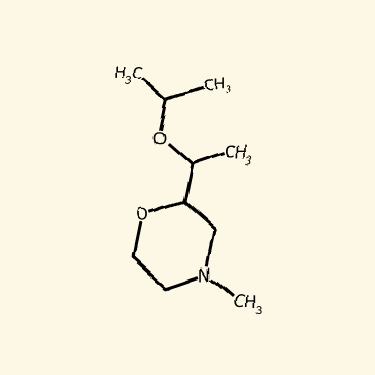 CC(C)OC(C)C1CN(C)CCO1